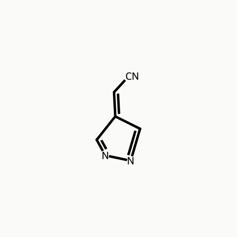 N#CC=C1C=NN=C1